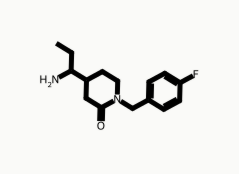 CCC(N)C1CCN(Cc2ccc(F)cc2)C(=O)C1